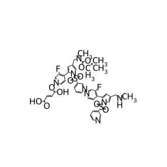 CN(Cc1cc(-c2ccncc2F)n(S(=O)(=O)c2cccnc2)c1)C(=O)OC(C)(C)C.CNCc1cc(-c2ccncc2F)n(S(=O)(=O)c2cccnc2)c1.O=C(O)/C=C/C(=O)O